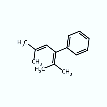 CC(C)=CC(=C(C)C)c1ccccc1